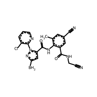 Bc1cc(C(=O)Nc2c(C)cc(C#N)cc2C(=O)NCC#N)n(-c2ncccc2Cl)n1